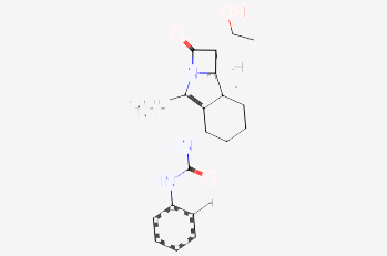 CC(C)c1ccccc1NC(=O)N[C@H]1CCC[C@H]2C1=C(C(=O)[O-])N1C(=O)[C@H](C(C)O)[C@@H]21.[Na+]